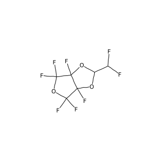 FC(F)C1OC2(F)C(F)(F)OC(F)(F)C2(F)O1